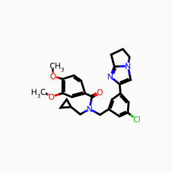 COc1ccc(C(=O)N(Cc2cc(Cl)cc(-c3cn4c(n3)CCC4)c2)CC2CC2)cc1OC